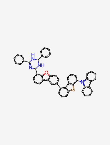 c1ccc(C2=NC(c3cccc4c3oc3ccc(-c5cccc6sc7c(-n8c9ccccc9c9ccccc98)cccc7c56)cc34)NC(c3ccccc3)N2)cc1